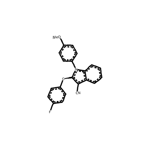 COc1ccc(-n2c(Oc3ccc(F)cc3)c(C#N)c3ccccc32)cc1